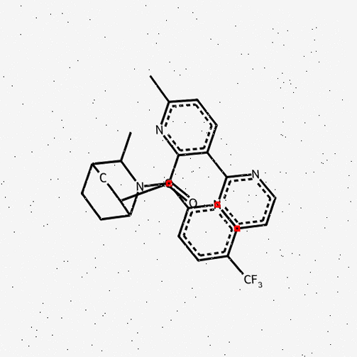 Cc1ccc(-c2ncccn2)c(C(=O)N2C(C)C3CCC2C(Oc2ccc(C(F)(F)F)cn2)C3)n1